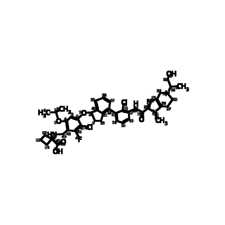 CC(C)Oc1cc(OC2CCc3c(-c4cccc(NC(=O)c5nc6c(n5C)CCN(C(C)CO)C6)c4Cl)cccc32)c(Cl)c(F)c1CNC1(C(=O)O)CCC1